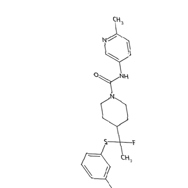 Cc1ccc(NC(=O)N2CCC(C(C)(F)Sc3cccc(F)c3)CC2)cn1